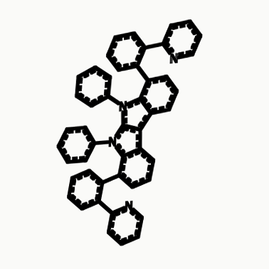 c1ccc(-n2c3c(-c4ccccc4-c4ccccn4)cccc3c3c4cccc(-c5ccccc5-c5ccccn5)c4n(-c4ccccc4)c32)cc1